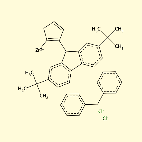 CC(C)(C)c1ccc2c(c1)C(C1=[C]([Zr+2])CC=C1)c1cc(C(C)(C)C)ccc1-2.[Cl-].[Cl-].c1ccc(Cc2ccccc2)cc1